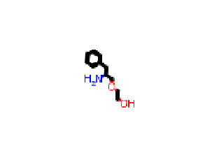 NC(COCCO)Cc1ccccc1